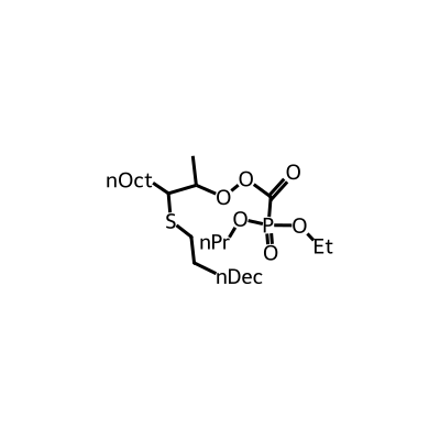 CCCCCCCCCCCCSC(CCCCCCCC)C(C)OOC(=O)P(=O)(OCC)OCCC